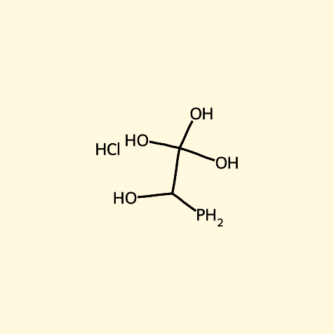 Cl.OC(P)C(O)(O)O